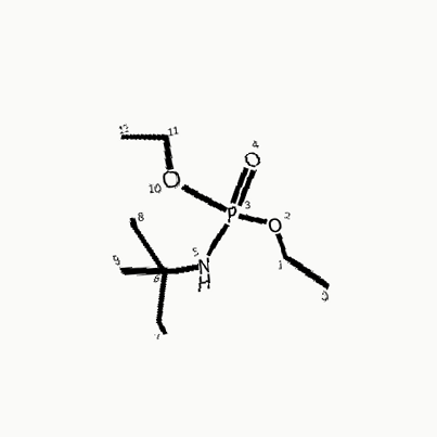 CCOP(=O)(NC(C)(C)C)OCC